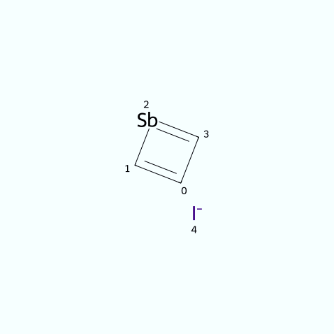 C1=[CH][Sb]=[CH]1.[I-]